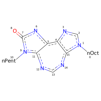 CCCCCCCCn1cnc2c3nc(=O)n(CCCCC)c-3ncnc21